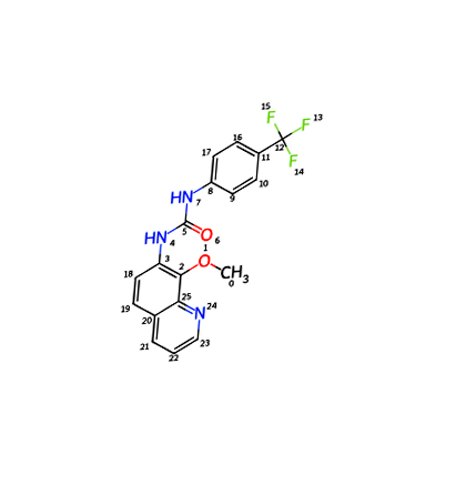 COc1c(NC(=O)Nc2ccc(C(F)(F)F)cc2)ccc2cccnc12